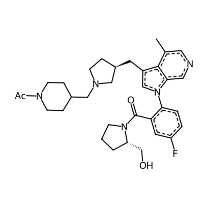 CC(=O)N1CCC(CN2CC[C@@H](Cc3cn(-c4ccc(F)cc4C(=O)N4CCC[C@H]4CO)c4cncc(C)c34)C2)CC1